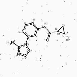 Nc1nccn1-c1cc(NC(=O)[C@@H]2C[C@@H]2F)ncn1